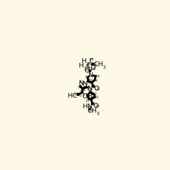 C#CC(O)c1cnn2c3c(c(=O)n(-c4ccc(C(=O)NC)cc4)c12)CCN(C(=O)OC(C)(C)C)C3